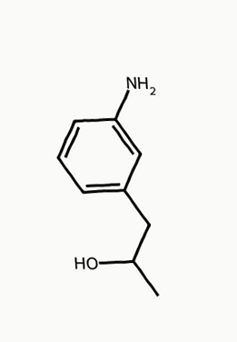 CC(O)Cc1cccc(N)c1